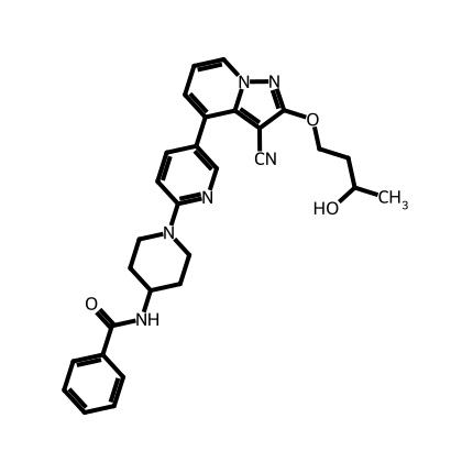 CC(O)CCOc1nn2cccc(-c3ccc(N4CCC(NC(=O)c5ccccc5)CC4)nc3)c2c1C#N